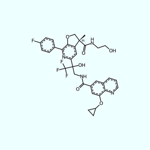 C[C@]1(C(=O)NCCO)COc2c1cc(C(O)(CNC(=O)c1cc(OC3CC3)c3ncccc3c1)C(F)(F)F)nc2-c1ccc(F)cc1